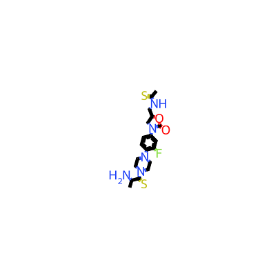 CC(=S)NCC1CN(c2ccc(N3CCN(C(=S)C(C)N)CC3)c(F)c2)C(=O)O1